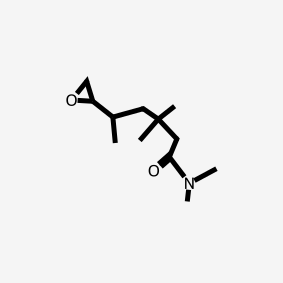 CC(CC(C)(C)CC(=O)N(C)C)C1CO1